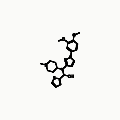 COc1ccc(-n2ccc(N(C3CCN(C)CC3)C(O)c3cccs3)n2)cc1OC